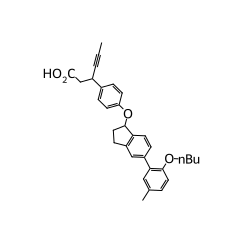 CC#CC(CC(=O)O)c1ccc(OC2CCc3cc(-c4cc(C)ccc4OCCCC)ccc32)cc1